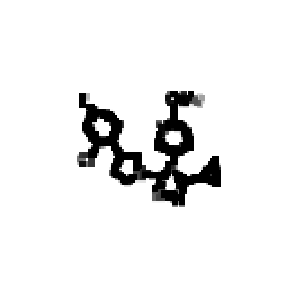 COc1ccc(-n2c(C3CC3)nnc2N2CCC(c3ccc(F)cc3Cl)C2)cn1